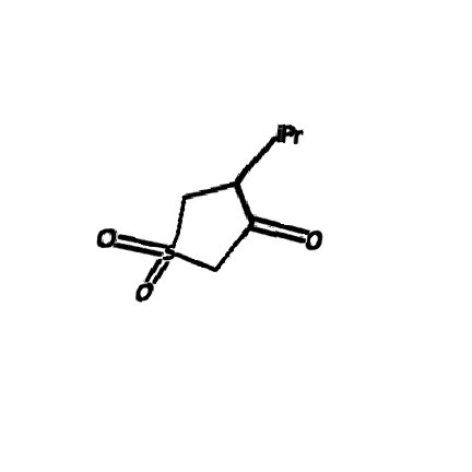 CC(C)C1CS(=O)(=O)CC1=O